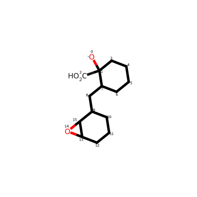 [O]C1(C(=O)O)CCCCC1CC1CCCC2OC12